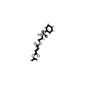 CC(C)OC(=O)/C=C/C(=O)OCCNS(=O)(=O)C1CCCCC1